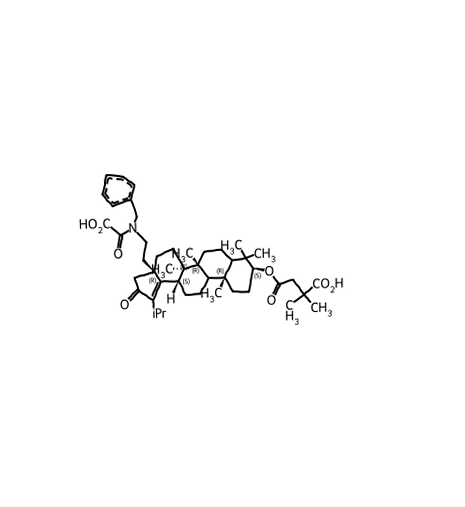 CC(C)C1=C2[C@H]3CCC4[C@@]5(C)CC[C@H](OC(=O)CC(C)(C)C(=O)O)C(C)(C)C5CC[C@@]4(C)[C@]3(C)CC[C@@]2(CCN(Cc2ccccc2)C(=O)C(=O)O)CC1=O